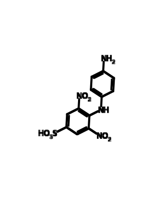 Nc1ccc(Nc2c([N+](=O)[O-])cc(S(=O)(=O)O)cc2[N+](=O)[O-])cc1